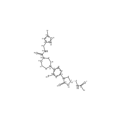 CC(=O)NC[C@H]1CN(c2ccc(N3CCON(C(=O)NCc4cc(C)on4)CC3)c(F)c2)C(=O)O1